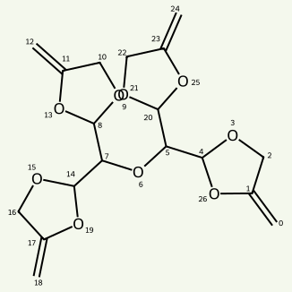 C=C1COC(C(OC(C2OCC(=C)O2)C2OCC(=C)O2)C2OCC(=C)O2)O1